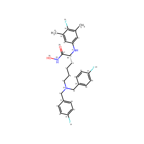 Cc1cc(N[C@H](CCCCN(Cc2ccc(F)cc2)Cc2ccc(F)cc2)C(=O)NO)cc(C)c1F